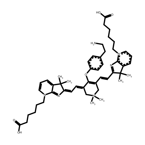 CC1(C)C2=CC=CN(CCCCCC(=O)O)C2=N/C1=C/C=C1\C[N+](C)(C)CC(/C=C/C2=Nc3c(ccc[n+]3CCCCCC(=O)O)C2(C)C)=C1Oc1ccc(CCN)cc1